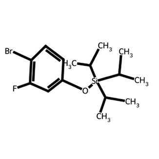 CC(C)[Si](Oc1ccc(Br)c(F)c1)(C(C)C)C(C)C